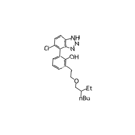 CCCCC(CC)COCCc1cccc(-c2c(Cl)ccc3[nH]nnc23)c1O